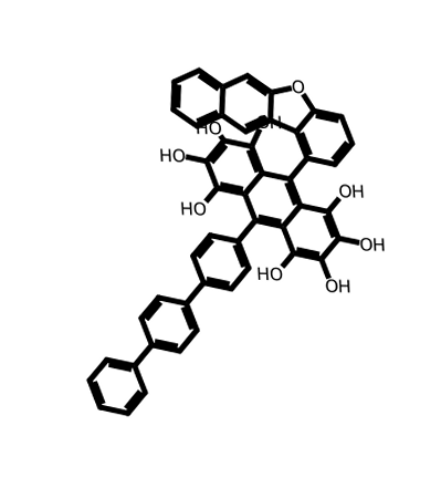 Oc1c(O)c(O)c2c(-c3cccc4oc5cc6ccccc6cc5c34)c3c(O)c(O)c(O)c(O)c3c(-c3ccc(-c4ccc(-c5ccccc5)cc4)cc3)c2c1O